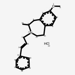 COc1ccc2c(c1)CC(C)N(CC=Cc1ccccc1)CC2.Cl